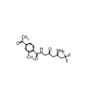 CC(=O)c1ccc(C(=O)NCC(=O)CC(=N)CC(F)(F)F)c(C)c1